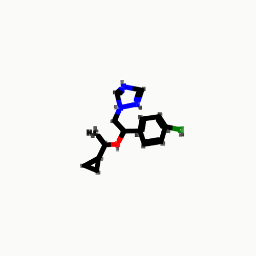 CC(OC(Cn1cncn1)c1ccc(Cl)cc1)C1CC1